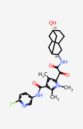 Cc1c(C(=O)Nc2ccc(F)nc2)c(C)n(C)c1C(=O)C(=O)N[C@@H]1CC2CC[C@]3(O)CC2CC1C3